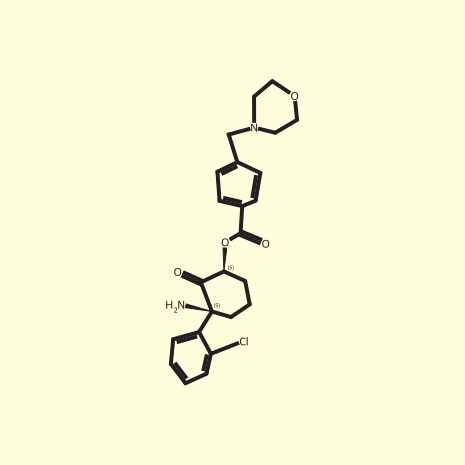 N[C@]1(c2ccccc2Cl)CCC[C@H](OC(=O)c2ccc(CN3CCOCC3)cc2)C1=O